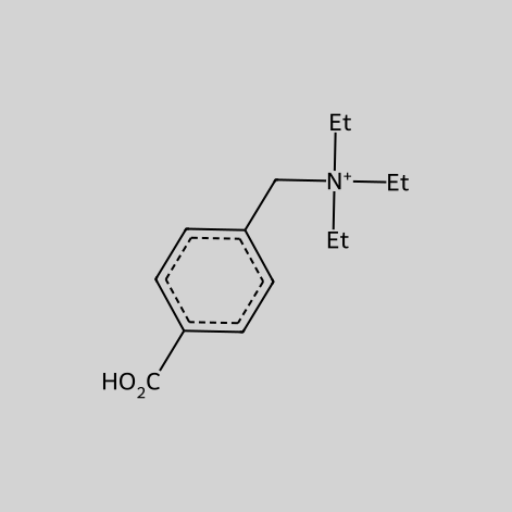 CC[N+](CC)(CC)Cc1ccc(C(=O)O)cc1